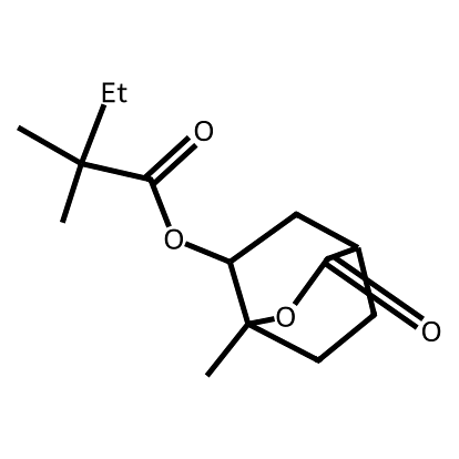 CCC(C)(C)C(=O)OC1CC2CCC1(C)OC2=O